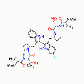 CN[C@@H](C)C(=O)N[C@@H](CO)C(=O)N1CCC[C@H]1Cc1c(-c2[nH]c3cc(F)ccc3c2C[C@@H]2CCCN2C(=O)[C@@H](NC(=O)[C@H](C)NC)[C@H](C)O)[nH]c2cc(F)ccc12